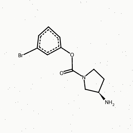 N[C@@H]1CCN(C(=O)Oc2cccc(Br)c2)C1